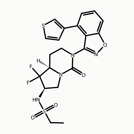 CCS(=O)(=O)N[C@@H]1CN2C(=O)N(c3noc4cccc(-c5ccsc5)c34)CC[C@@H]2C1(F)F